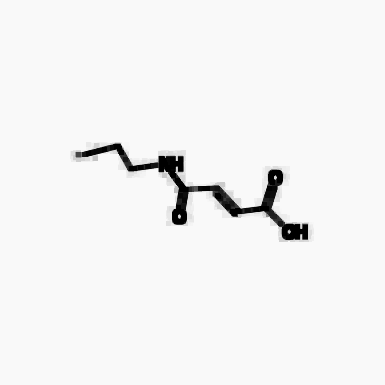 [CH2]CCNC(=O)/C=C/C(=O)O